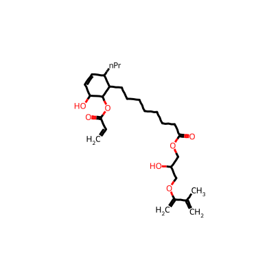 C=CC(=O)OC1C(O)C=CC(CCC)C1CCCCCCCC(=O)OCC(O)COC(=C)C(=C)C